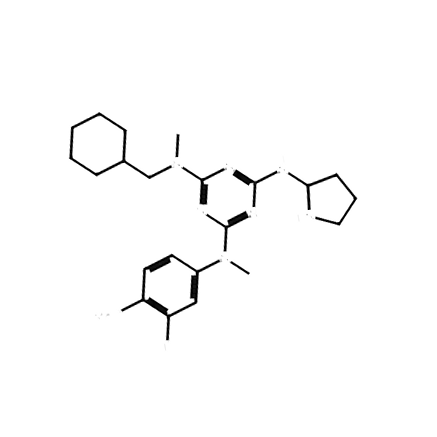 COc1ccc(N(C)c2nc(NC3CCCN3)nc(N(C)CC3CCCCC3)n2)cc1F